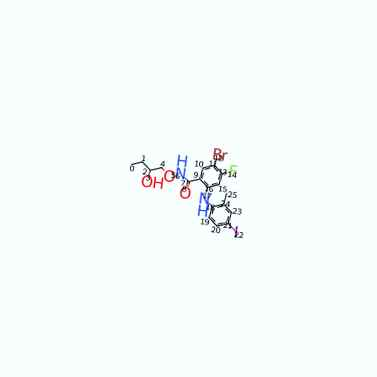 CCC(O)CONC(=O)c1cc(Br)c(F)cc1Nc1ccc(I)cc1C